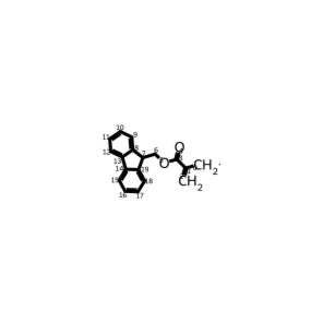 [CH2]C(=C)C(=O)OCC1c2ccccc2-c2ccccc21